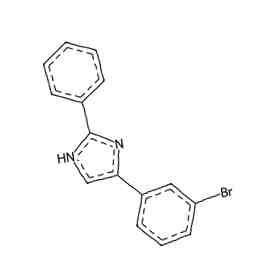 Brc1cccc(-c2c[nH]c(-c3ccccc3)n2)c1